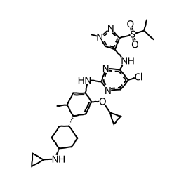 CC1C=C(Nc2ncc(Cl)c(Nc3cn(C)nc3S(=O)(=O)C(C)C)n2)C(OC2CC2)=CC1[C@H]1CC[C@H](NC2CC2)CC1